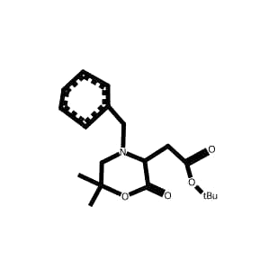 CC(C)(C)OC(=O)CC1C(=O)OC(C)(C)CN1Cc1ccccc1